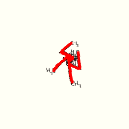 CCCCCCCCCCCCCCCCCCCCCCCCCC(O)C(CCCCCCCCCCC1CC1CCCCCCCCCCCCCCCCCC)C(=O)OCC1OC(OC2OC(COC(=O)C(CCCCCCCCCCCCCCCCCCCCCCCC)C(O)CCCCCCCCCCCC3CC3CCCCCCCCCCCCCCCCCC)C(O)C(O)C2O)C(O)C(O)C1O